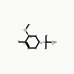 CO[C@H]1C[C@H](C(C)(C)O)CC=C1C